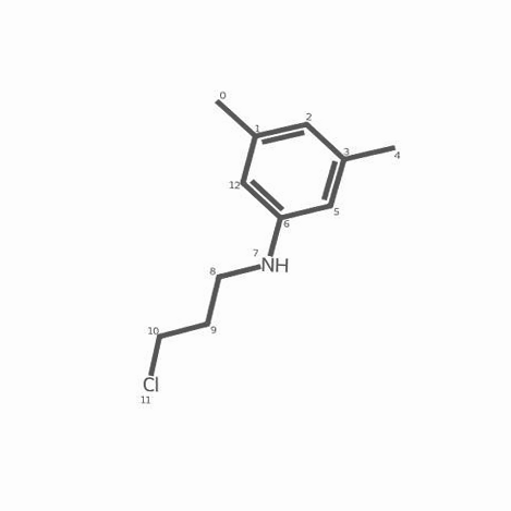 Cc1cc(C)cc(NCCCCl)c1